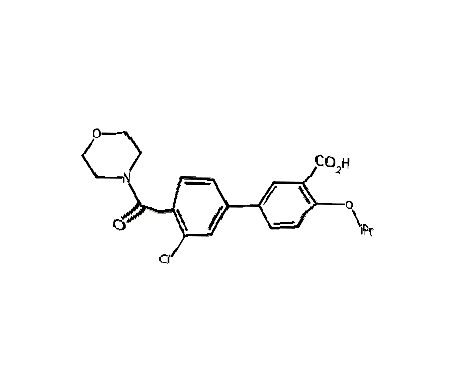 CC(C)Oc1ccc(-c2ccc(C(=O)N3CCOCC3)c(Cl)c2)cc1C(=O)O